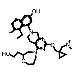 CCc1c(F)ccc2cc(O)cc(N3CCc4c(nc(OCC5(CN(C)C)CC5)nc4N4CCCOC(CCO)C4)C3)c12